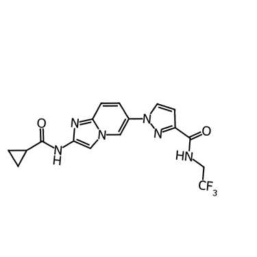 O=C(NCC(F)(F)F)c1ccn(-c2ccc3nc(NC(=O)C4CC4)cn3c2)n1